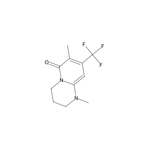 Cc1c(C(F)(F)F)cc2n(c1=O)CCCN2C